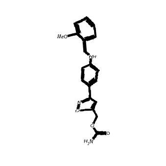 COc1ccccc1CNc1ccc(-c2cc(COC(N)=O)on2)cc1